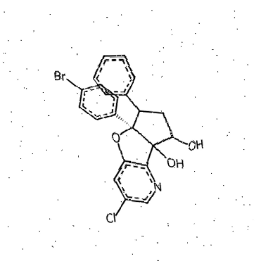 OC1CC(c2ccccc2)[C@]2(c3ccc(Br)cc3)Oc3cc(Cl)cnc3C12O